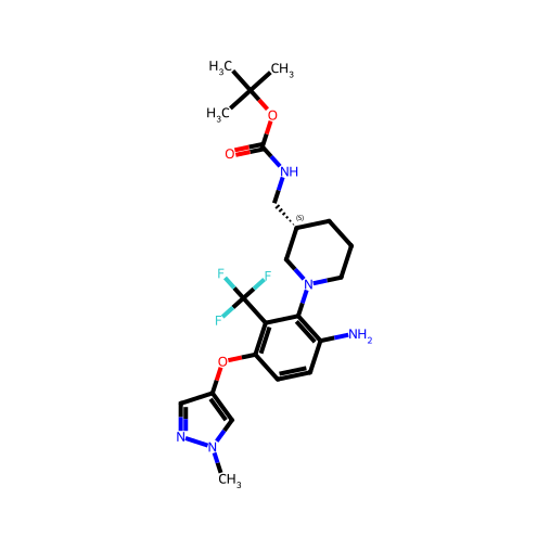 Cn1cc(Oc2ccc(N)c(N3CCC[C@@H](CNC(=O)OC(C)(C)C)C3)c2C(F)(F)F)cn1